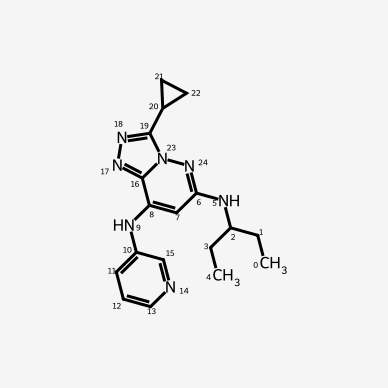 CCC(CC)Nc1cc(Nc2cccnc2)c2nnc(C3CC3)n2n1